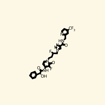 O=C(NCc1cc(C(F)(F)F)ccn1)c1cn(CC(F)CCn2ccc(NC(=O)[C@@H](O)c3ccccc3)c(F)c2=O)nn1